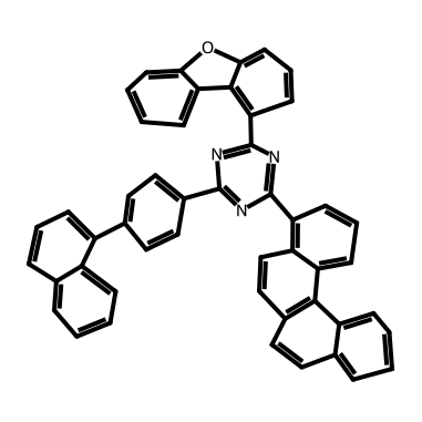 c1ccc2c(-c3ccc(-c4nc(-c5cccc6c5ccc5ccc7ccccc7c56)nc(-c5cccc6oc7ccccc7c56)n4)cc3)cccc2c1